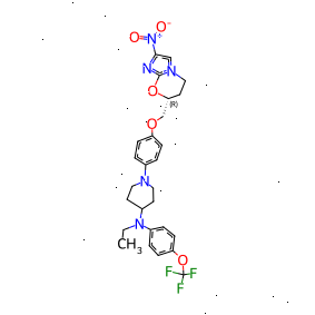 CCN(c1ccc(OC(F)(F)F)cc1)C1CCN(c2ccc(OC[C@H]3CCn4cc([N+](=O)[O-])nc4O3)cc2)CC1